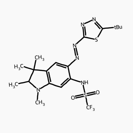 CC1N(C)c2cc(NS(=O)(=O)C(F)(F)F)c(N=Nc3nnc(C(C)(C)C)s3)cc2C1(C)C